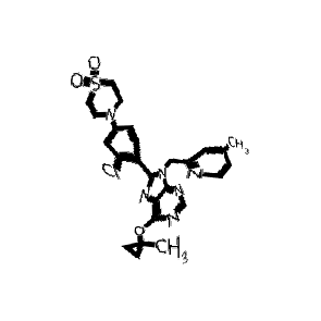 Cc1ccnc(Cn2c(-c3ccc(N4CCS(=O)(=O)CC4)cc3Cl)nc3c(OC4(C)CC4)ncnc32)c1